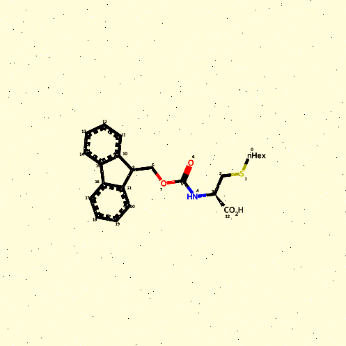 CCCCCCSC[C@H](NC(=O)OCC1c2ccccc2-c2ccccc21)C(=O)O